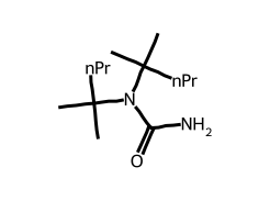 CCCC(C)(C)N(C(N)=O)C(C)(C)CCC